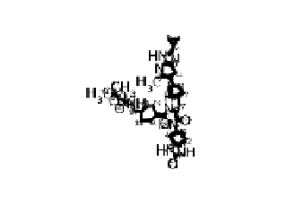 Cc1nc2[nH]c(C3CC3)nc2cc1-c1ccc(C[C@H](NC(=O)C2CCC(CNC(=O)OC(C)(C)C)CC2)C(=O)Nc2ccc3[nH]c(=O)[nH]c3c2)cc1